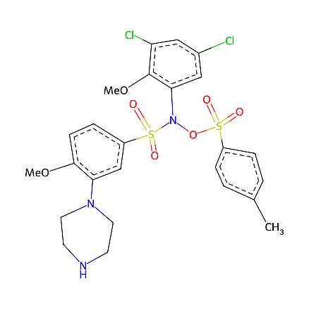 COc1ccc(S(=O)(=O)N(OS(=O)(=O)c2ccc(C)cc2)c2cc(Cl)cc(Cl)c2OC)cc1N1CCNCC1